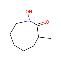 CC1CCCCCN(O)C1=O